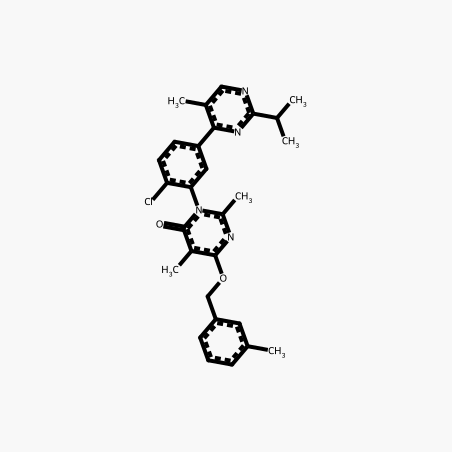 Cc1cccc(COc2nc(C)n(-c3cc(-c4nc(C(C)C)ncc4C)ccc3Cl)c(=O)c2C)c1